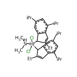 CCC1=Cc2c(C(C)C)cc(C(C)C)cc2[CH]1[Hf]([Cl])([Cl])([CH]1C(CC)=Cc2c(C(C)C)cc(C(C)C)cc21)[SiH](C)C